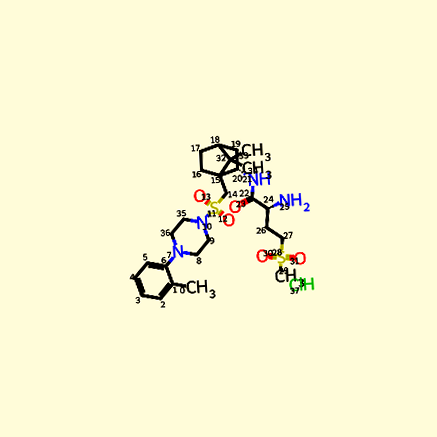 Cc1ccccc1N1CCN(S(=O)(=O)CC23CCC(C[C@@H]2NC(=O)[C@@H](N)CCS(C)(=O)=O)C3(C)C)CC1.Cl